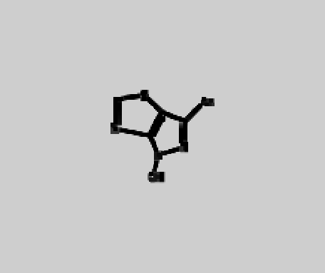 CC(=O)c1nn(O)c2ncsc12